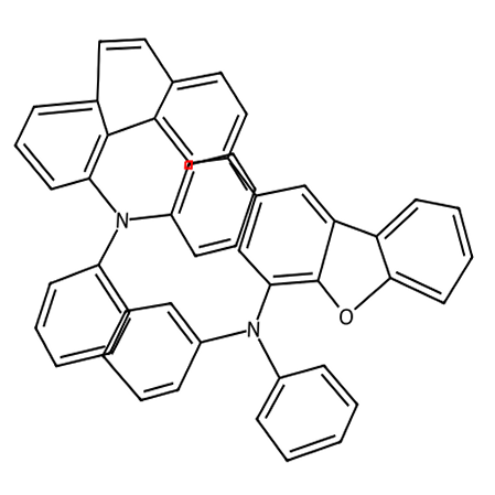 c1ccc(N(c2ccccc2)c2cc(-c3ccc4ccc5cccc(N(c6ccccc6)c6ccccc6)c5c4c3)cc3c2oc2ccccc23)cc1